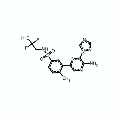 Cc1ccc(S(=O)(=O)NCC(C)(F)F)cc1-c1cnc(N)c(-n2cncn2)n1